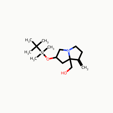 C=C1CCN2CC(O[Si](C)(C)C(C)(C)C)CC12CO